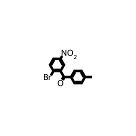 Cc1ccc(C(=O)c2cc([N+](=O)[O-])ccc2Br)cc1